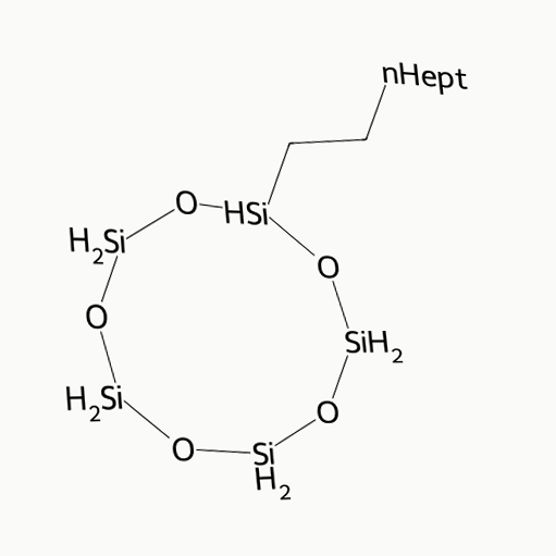 CCCCCCCCC[SiH]1O[SiH2]O[SiH2]O[SiH2]O[SiH2]O1